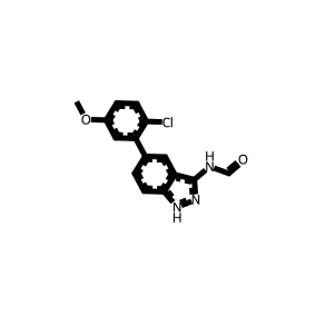 COc1ccc(Cl)c(-c2ccc3[nH]nc(NC=O)c3c2)c1